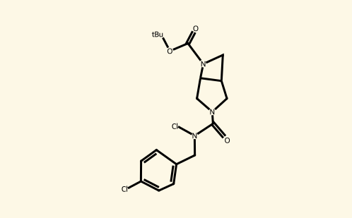 CC(C)(C)OC(=O)N1CC2CN(C(=O)N(Cl)Cc3ccc(Cl)cc3)CC21